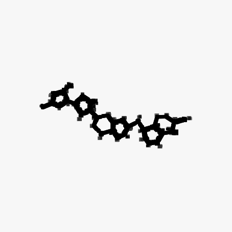 CCn1nc(C)cc1-c1c[nH]c(C2COc3ccc(Oc4ccnc5c4CCC(=O)N5)cc3C2)n1